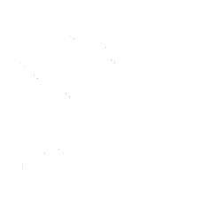 CC1CC(n2cc(-c3nc(-c4cnn(C)c4)cn4nccc34)c(N)n2)C1